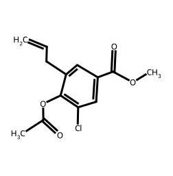 C=CCc1cc(C(=O)OC)cc(Cl)c1OC(C)=O